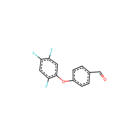 O=Cc1ccc(Oc2cc(F)c(F)cc2F)cc1